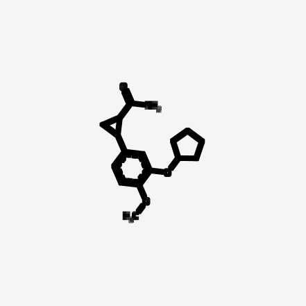 COc1ccc(C2CC2C(N)=O)cc1OC1CCCC1